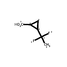 CC(F)(F)C1CC1C(=O)O